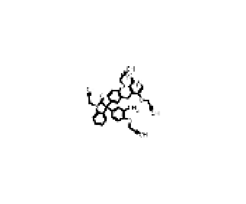 C#CCOC(=C/C)/C(=C\C=C)Cc1cc(C2(c3ccc(OCC#C)c(C)c3)C(=O)N(CC#C)c3ccccc32)ccc1OCC#C